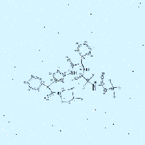 CC1CCN(C(=O)C(c2ccccc2)n2cnc(NC(=O)[C@H](NC(=O)C(C)(C)NC(=O)OC(C)(C)C)c3ccccc3)c2)CC1